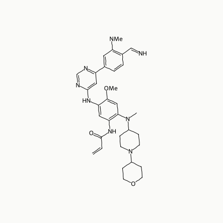 C=CC(=O)Nc1cc(Nc2cc(-c3ccc(C=N)c(NC)c3)ncn2)c(OC)cc1N(C)C1CCN(C2CCOCC2)CC1